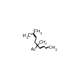 C=CC=CC(C)(CC=C(C)C)C(C)=O